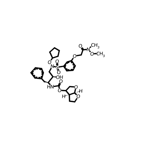 CON(C)C(=O)COc1cccc(S(=O)(=O)N(C[C@@H](O)[C@H](Cc2ccccc2)NC(=O)OC2CO[C@H]3OCC[C@@H]23)OC2CCCC2)c1